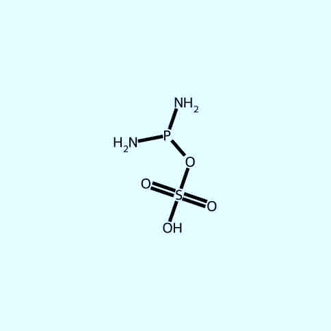 NP(N)OS(=O)(=O)O